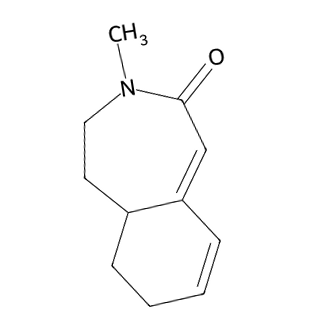 CN1CCC2CCC=CC2=CC1=O